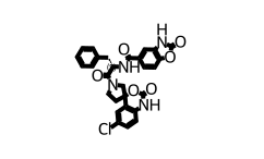 O=C1Nc2ccc(Cl)cc2C2(CCN(C(=O)[C@H](Cc3ccccc3)NC(=O)c3ccc4oc(=O)[nH]c4c3)C2)O1